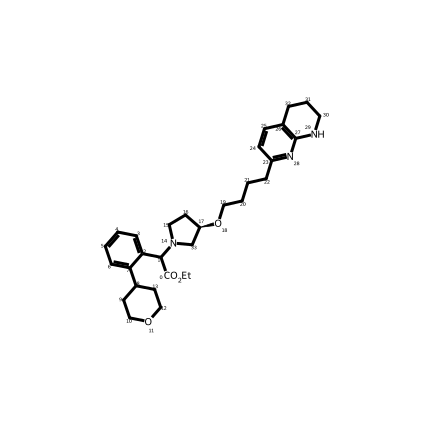 CCOC(=O)C(c1ccccc1C1CCOCC1)N1CC[C@@H](OCCCCc2ccc3c(n2)NCCC3)C1